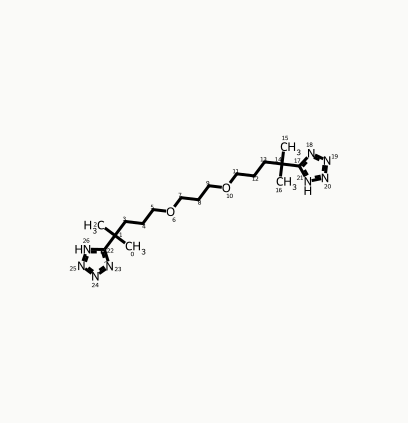 CC(C)(CCCOCCCOCCCC(C)(C)c1nnn[nH]1)c1nnn[nH]1